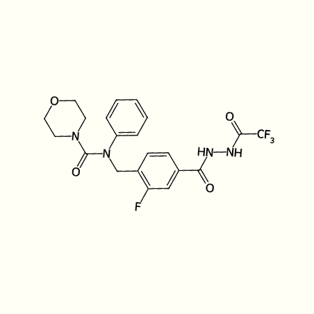 O=C(NNC(=O)C(F)(F)F)c1ccc(CN(C(=O)N2CCOCC2)c2ccccc2)c(F)c1